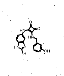 O=c1c(NCc2cccc(O)c2)c(Nc2ccc3[nH]c(S)nc3c2)c1=O